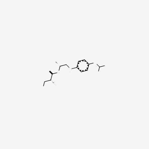 C[C@@H](CNc1ccc(OC(F)F)cc1)NC(=O)[C@@H](N)CC(C)(C)C